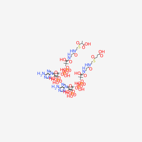 CC(C(=O)O)C(=O)SCCNC(=O)CCNC(=O)[C@H](O)C(C)(C)COP(=O)(O)OP(=O)(O)OC[C@H]1O[C@@H](n2cnc3c(N)ncnc32)[C@H](O)[C@@H]1OP(=O)(O)O.CC(C)(COP(=O)(O)OP(=O)(O)OC[C@H]1O[C@@H](n2cnc3c(N)ncnc32)[C@H](O)[C@@H]1OP(=O)(O)O)[C@@H](O)C(=O)NCCC(=O)NCCSC(=O)CCC(=O)O